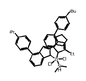 CCC1=Cc2c(-c3ccc(C(C)CC)cc3)cccc2[CH]1[Zr]([Cl])([Cl])([CH]1C(C2CCCC2)=Cc2c(-c3ccc(C(C)C)cc3)cccc21)[SiH](C)C